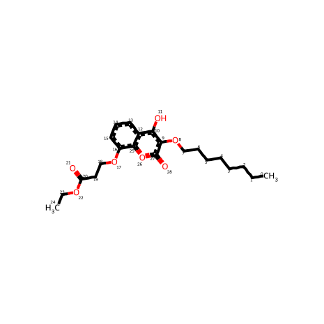 CCCCCCCCOc1c(O)c2cccc(OCCC(=O)OCC)c2oc1=O